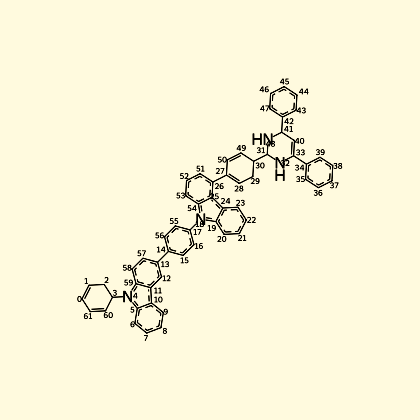 C1=CCC(n2c3ccccc3c3cc(-c4ccc(-n5c6ccccc6c6c(C7=CCC(C8NC(c9ccccc9)=CC(c9ccccc9)N8)C=C7)cccc65)cc4)ccc32)C=C1